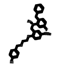 CCc1ccc(COCCOc2ccc(OC)cc2CN(C(C)=O)c2cc(F)ccc2Cc2ccccc2)cc1